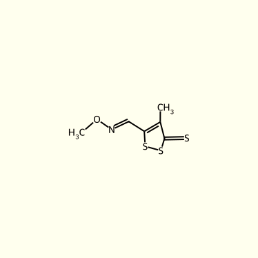 CON=Cc1ssc(=S)c1C